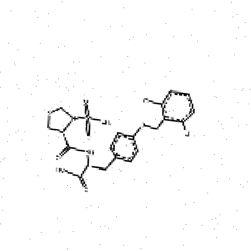 CS(=O)(=O)N1CSC[C@@H]1C(=O)N[C@@H](Cc1ccc(OCc2c(Cl)cccc2Cl)cc1)C(=O)O